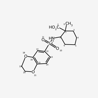 CC1(C(=O)O)CCCCC1NS(=O)(=O)c1ccc2c(c1)OCCO2